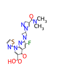 CN(C)C(=O)c1cnn(C2CN(c3nc4c(cc3F)c(=O)c(C(=O)O)cn4-c3nccs3)C2)c1